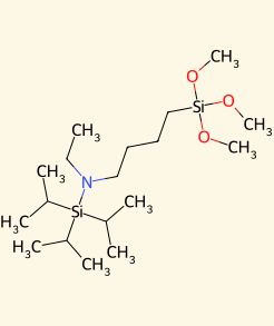 CCN(CCCC[Si](OC)(OC)OC)[Si](C(C)C)(C(C)C)C(C)C